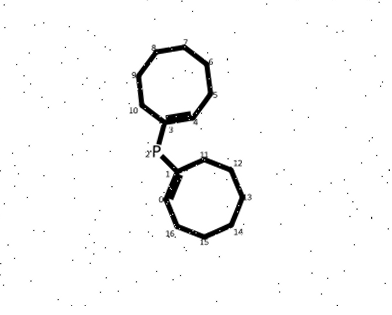 C1=C(/[P]/C2=C/CCCCCC2)CCCCCC/1